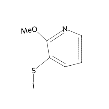 COc1ncccc1SI